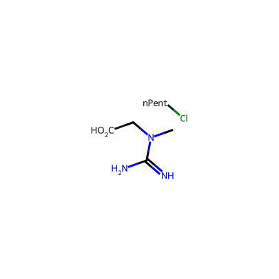 CCCCCCl.CN(CC(=O)O)C(=N)N